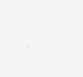 CNC(=O)N1Cc2ccc(C(F)(F)F)cc2C1